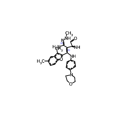 CN/N=C(N)\C(C(=N)C=O)=C(\Nc1ccc(N2CCOCC2)cc1)c1oc2ccc(C)cc2c1C